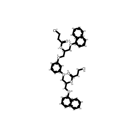 O=C(CCCl)OC(COc1cccc(OCC(COc2cccc3ccccc23)OC(=O)CCCl)c1)COc1cccc2ccccc12